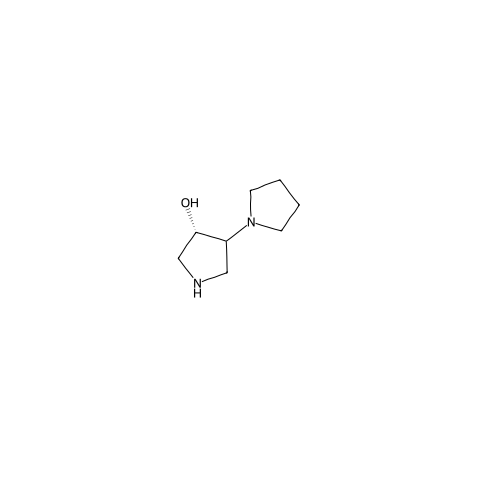 O[C@H]1CNCC1N1CCCC1